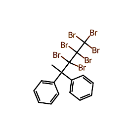 CC(c1ccccc1)(c1ccccc1)C(Br)(Br)C(Br)(Br)C(Br)(Br)Br